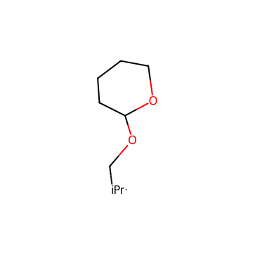 C[C](C)COC1CCCCO1